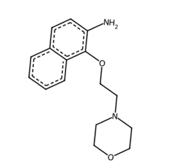 Nc1ccc2ccccc2c1OCCN1CCOCC1